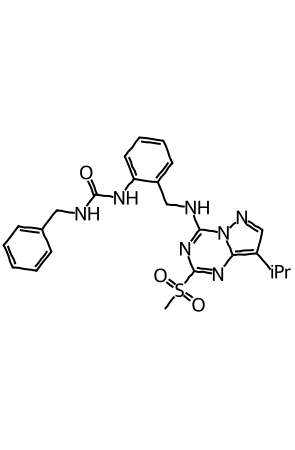 CC(C)c1cnn2c(NCc3ccccc3NC(=O)NCc3ccccc3)nc(S(C)(=O)=O)nc12